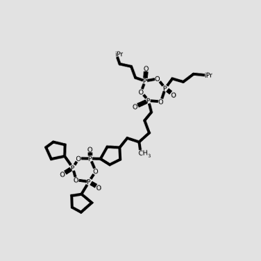 CC(C)CCCP1(=O)OP(=O)(CCCC(C)C)OP(=O)(CCCC(C)CC2CCC(P3(=O)OP(=O)(C4CCCC4)OP(=O)(C4CCCC4)O3)C2)O1